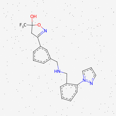 OC1(C(F)(F)F)CC(c2cccc(CNCc3ccccc3-n3cccn3)c2)=NO1